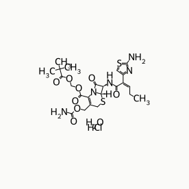 CC/C=C(\C(=O)N[C@@H]1C(=O)N2C(C(=O)OCOC(=O)C(C)(C)C)=C(COC(N)=O)CS[C@@H]12)c1csc(N)n1.Cl.O